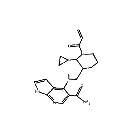 C=CC(=O)N1CCCC(CNc2c(C(N)=O)cnc3[nH]ccc23)C1C1CC1